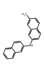 Cc1ccc2ccc(Nc3ccc4ccccc4c3)cc2c1